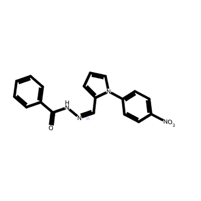 O=C(N/N=C\c1cccn1-c1ccc([N+](=O)[O-])cc1)c1ccccc1